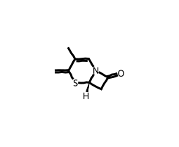 C=C1S[C@H]2CC(=O)N2C=C1C